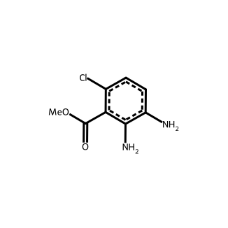 COC(=O)c1c(Cl)ccc(N)c1N